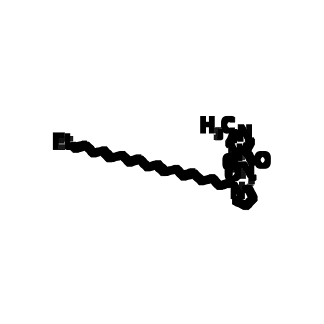 CCC=CCC=CCC=CCC=CCC=CCCCC(=O)N1CCC[C@H]1CNC(=O)c1cnc(C)c[n+]1[O-]